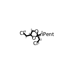 CCCCCC1(CCl)OCC(CCl)O1